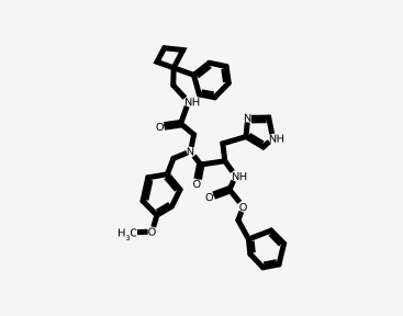 COc1ccc(CN(CC(=O)NCC2(c3ccccc3)CCC2)C(=O)C(Cc2c[nH]cn2)NC(=O)OCc2ccccc2)cc1